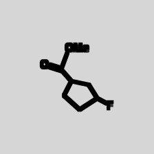 COC(=O)C1CCC(F)C1